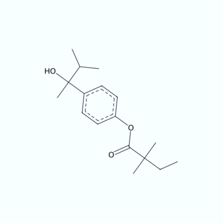 CCC(C)(C)C(=O)Oc1ccc(C(C)(O)C(C)C)cc1